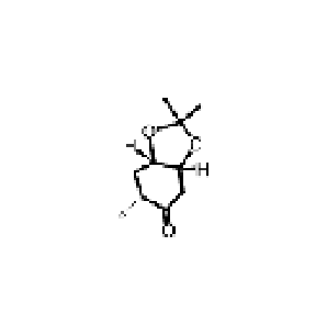 C[C@@H]1C[C@@H]2OC(C)(C)O[C@@H]2CC1=O